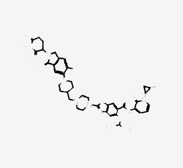 CC(C)Oc1cc2nc(N3CCN(CC4CCN(c5cc6c(cc5F)CN(C5CCC(=O)NC5=O)C6=O)CC4)CC3)sc2cc1C(=O)Nc1cccn([C@H]2C[C@H]2F)c1=O